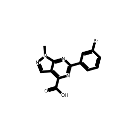 Cn1ncc2c(C(=O)O)nc(-c3cccc(Br)c3)nc21